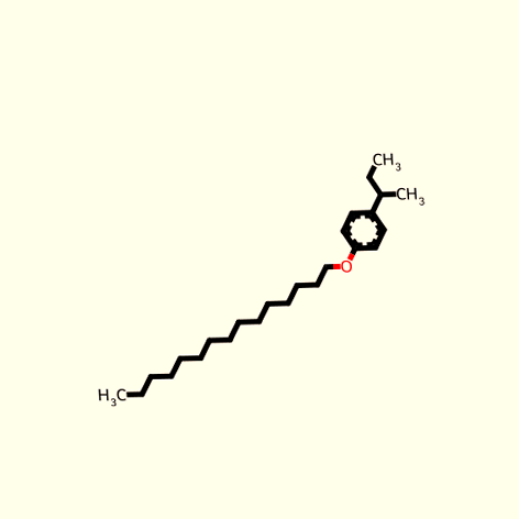 CCCCCCCCCCCCCCCOc1ccc(C(C)CC)cc1